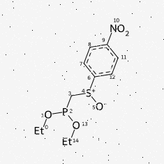 CCOP(C[S+]([O-])c1ccc([N+](=O)[O-])cc1)OCC